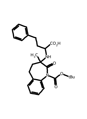 CC(C)(C)OC(=O)N1C(=O)C(C)(NC(CCc2ccccc2)C(=O)O)CCc2ccccc21